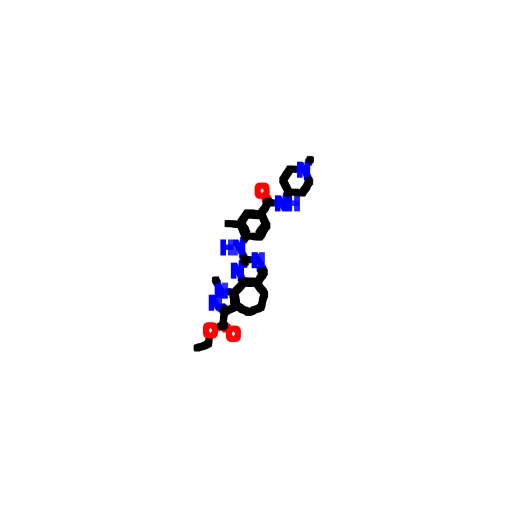 CCOC(=O)c1nn(C)c2c1CCCc1cnc(Nc3ccc(C(=O)NC4CCN(C)CC4)cc3C)nc1-2